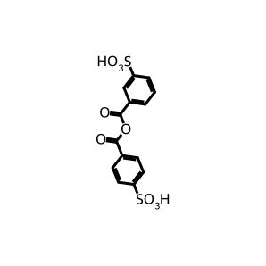 O=C(OC(=O)c1cccc(S(=O)(=O)O)c1)c1ccc(S(=O)(=O)O)cc1